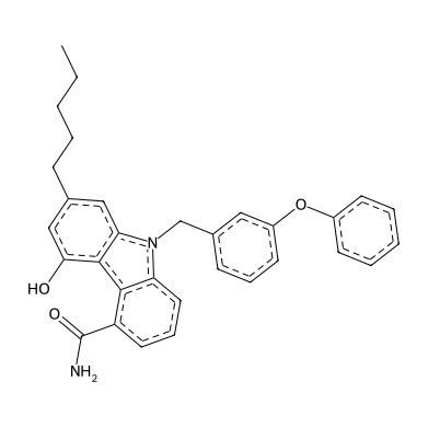 CCCCCc1cc(O)c2c3c(C(N)=O)cccc3n(Cc3cccc(Oc4ccccc4)c3)c2c1